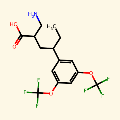 CCC(CC(CN)C(=O)O)c1cc(OC(F)(F)F)cc(OC(F)(F)F)c1